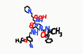 COc1cc(CNC(=O)C2CN(C3=N[C@@H](C)[C@H](c4ccccc4)O3)CCN2C(=O)C(CCCCN2CCCCC2)NC(=O)O)ccc1C#N